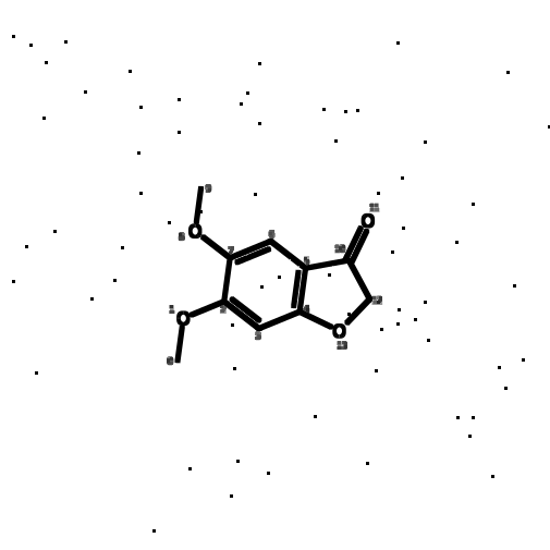 COc1cc2c(cc1OC)C(=O)CO2